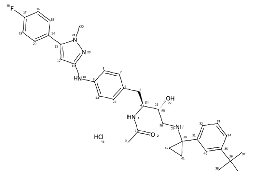 CC(=O)N[C@@H](Cc1ccc(Nc2cc(-c3ccc(F)cc3)n(C)n2)cc1)[C@H](O)CNC1(c2cccc(C(C)(C)C)c2)CC1.Cl